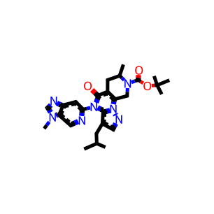 CC(C)Cc1cnn2c3c(c(=O)n(-c4cc5ncn(C)c5cn4)c12)CC(C)N(C(=O)OC(C)(C)C)C3